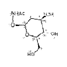 CC(=O)NO[C@H]1C[C@@H](O)[C@H](O)[C@@H](CO)O1